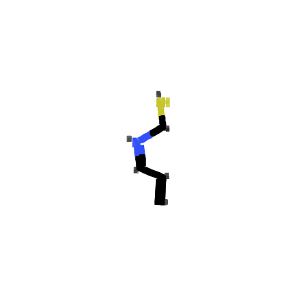 C=C/C=N\CS